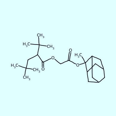 CC(C)(C)CC(C(=O)OCC(=O)OC1(C)C2CC3CC(C2)CC1C3)C(C)(C)C